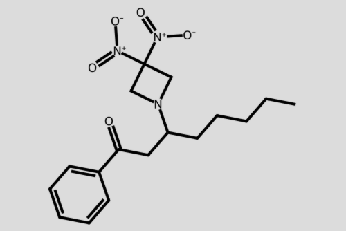 CCCCCC(CC(=O)c1ccccc1)N1CC([N+](=O)[O-])([N+](=O)[O-])C1